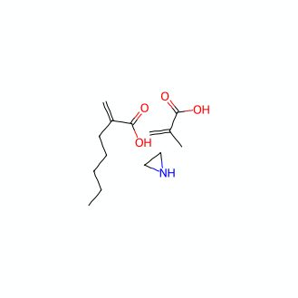 C1CN1.C=C(C)C(=O)O.C=C(CCCCC)C(=O)O